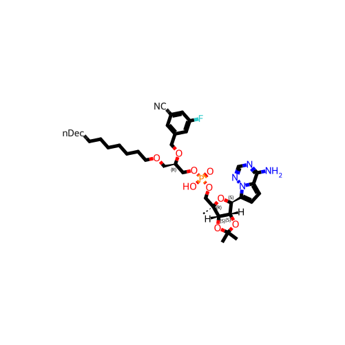 CCCCCCCCCCCCCCCCCOC[C@H](COP(=O)(O)OC[C@@]1(C)O[C@@H](c2ccc3c(N)ncnn23)[C@@H]2OC(C)(C)O[C@@H]21)OCc1cc(F)cc(C#N)c1